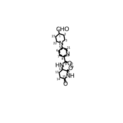 O=CC1CCN(c2ccc(C(=O)NC3CCC(=O)NC3=O)nc2)CC1